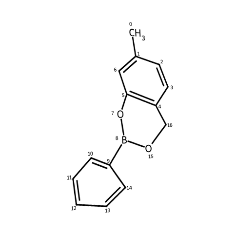 Cc1ccc2c(c1)OB(c1ccccc1)OC2